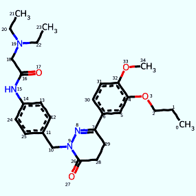 CCCOc1cc(C2=NN(Cc3ccc(NC(=O)CN(CC)CC)cc3)C(=O)CC2)ccc1OC